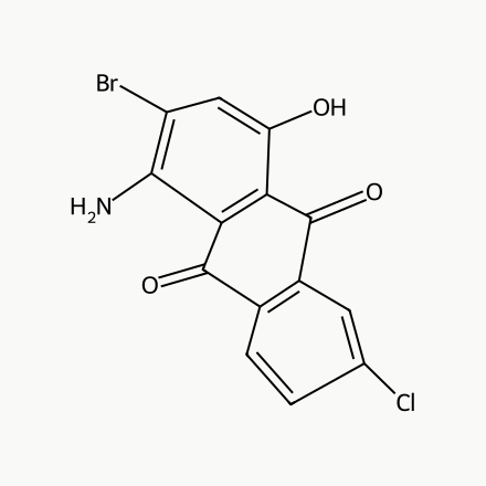 Nc1c(Br)cc(O)c2c1C(=O)c1ccc(Cl)cc1C2=O